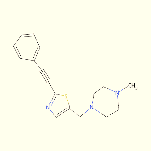 CN1CCN(Cc2cnc(C#Cc3ccccc3)s2)CC1